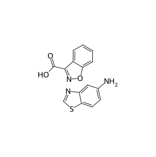 Nc1ccc2scnc2c1.O=C(O)c1noc2ccccc12